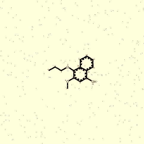 CCCOc1c(OC)cc(O)c2ccccc12